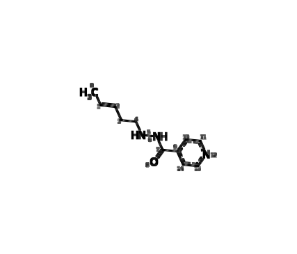 C/C=C/CCNNC(=O)c1ccncc1